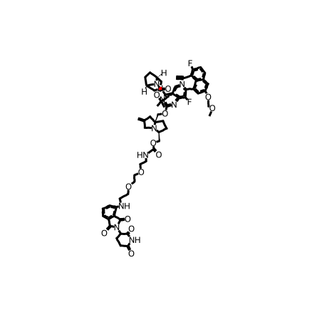 C#Cc1c(F)ccc2cc(OCOC)cc(-c3ncc4c(N5C[C@H]6CC[C@@H](C5)N6C(=O)OC(C)(C)C)nc(OC[C@@]56CC[C@@H](COC(=O)NCCOCCOCCNc7cccc8c7C(=O)N(C7CCC(=O)NC7=O)C8=O)N5CC(=C)C6)nc4c3F)c12